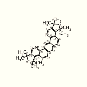 CC1(C)CC(C)(C)c2c1cnc1c2ccc2cc3ccc4c5c(cnc4c3cc21)C(C)(C)CC5(C)C